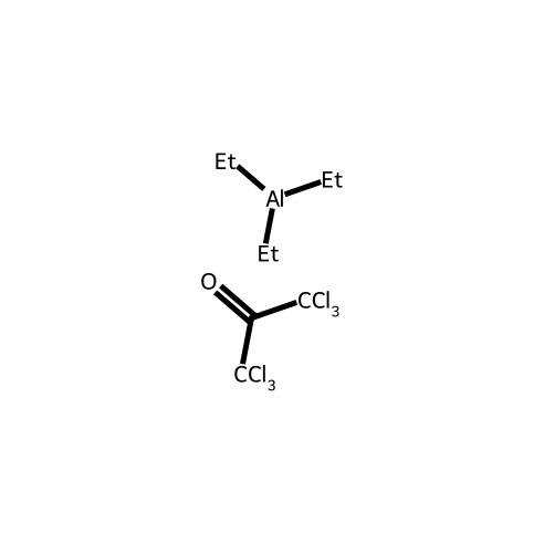 C[CH2][Al]([CH2]C)[CH2]C.O=C(C(Cl)(Cl)Cl)C(Cl)(Cl)Cl